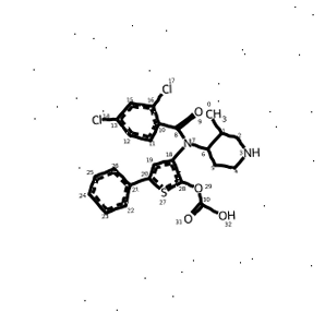 CC1CNCCC1N(C(=O)c1ccc(Cl)cc1Cl)c1cc(-c2ccccc2)sc1OC(=O)O